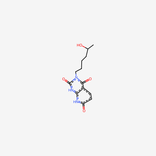 CC(O)CCCCn1c(=O)[nH]c2[nH]c(=O)ccc2c1=O